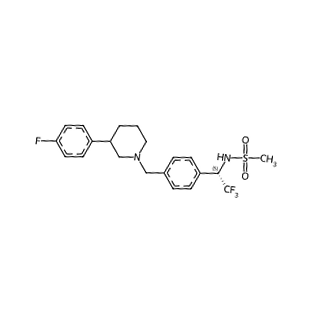 CS(=O)(=O)N[C@@H](c1ccc(CN2CCCC(c3ccc(F)cc3)C2)cc1)C(F)(F)F